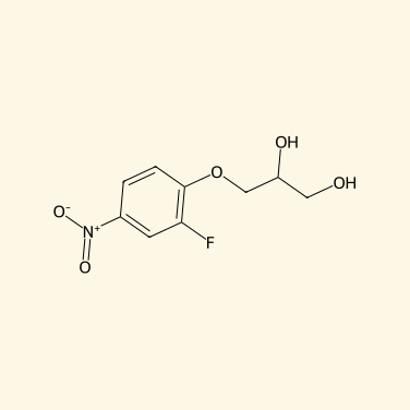 O=[N+]([O-])c1ccc(OCC(O)CO)c(F)c1